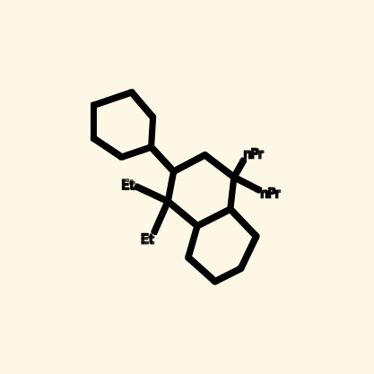 CCCC1(CCC)CC(C2CCCCC2)C(CC)(CC)C2CCCCC21